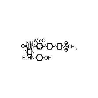 CCc1nc(C(N)=O)c(Nc2ccc(N3CCC(N4CCN(S(C)(=O)=O)CC4)CC3)cc2OC)nc1N[C@H]1CC[C@H](O)CC1